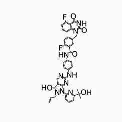 C=CCN1C(O)c2cnc(Nc3ccc(NC(=O)c4cc(Cn5c(=O)[nH]c(=O)c6c(F)cccc65)ccc4F)cc3)nc2N1c1cccc(C(C)(C)O)n1